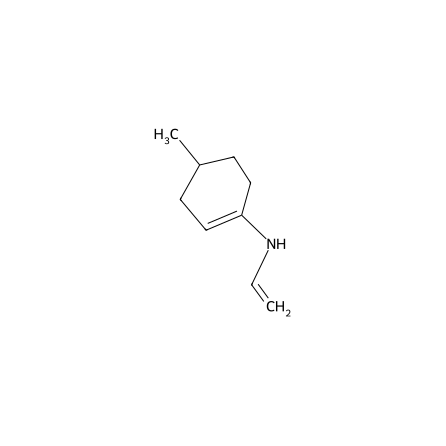 C=CNC1=CCC(C)CC1